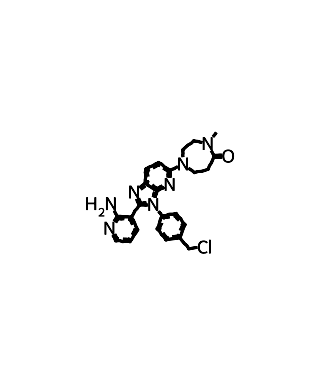 CN1CCN(c2ccc3nc(-c4cccnc4N)n(-c4ccc(CCl)cc4)c3n2)CCC1=O